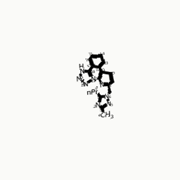 CCCc1nc(C)nn1Cc1ccc(-c2ccccc2-c2nnn[nH]2)cn1